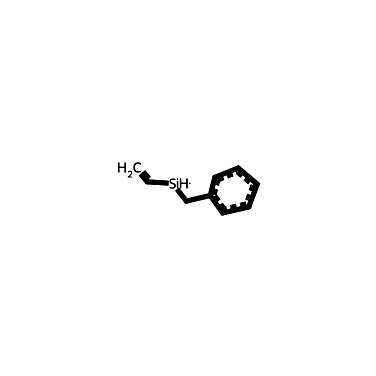 C=C[SiH]Cc1ccccc1